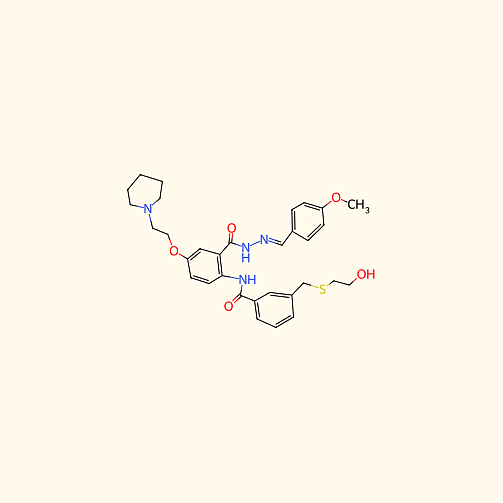 COc1ccc(/C=N/NC(=O)c2cc(OCCN3CCCCC3)ccc2NC(=O)c2cccc(CSCCO)c2)cc1